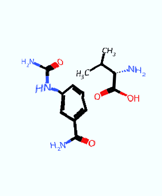 CC(C)[C@H](N)C(=O)O.NC(=O)Nc1cccc(C(N)=O)c1